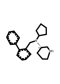 c1ccc(-c2ccccc2CN(C2CCCC2)[C@H]2CCCNC2)cc1